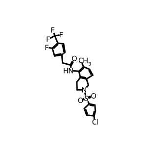 Cc1ccc2c(c1NC(=O)Cc1ccc(C(F)(F)F)c(F)c1)CCN(S(=O)(=O)c1ccc(Cl)cc1)C2